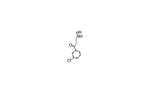 CCCNCCC(=O)c1cccc(Cl)c1